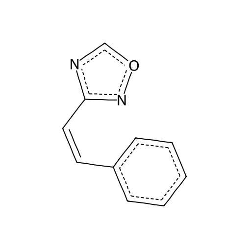 C(=C/c1ncon1)/c1ccccc1